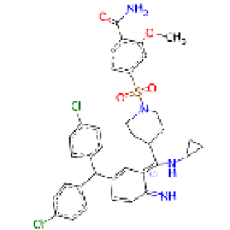 COc1cc(S(=O)(=O)N2CCC(/C(NC3CC3)=C3\C=C(C(c4ccc(Cl)cc4)c4ccc(Cl)cc4)C=CC3=N)CC2)ccc1C(N)=O